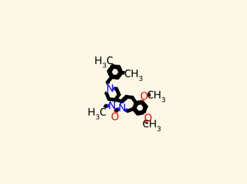 CCN1C(=O)N2Cc3cc(OC)cc(OC)c3CC=C2C12CCN(Cc1cc(C)cc(C)c1)CC2